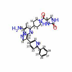 Cc1c(C2CCN(C(=O)[C@H]3CNC(=O)N3)CC2)nc2c(-c3ccc(-c4ccccc4)nc3)cnn2c1N